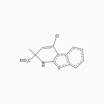 CCOC(=O)C1(C)C=C(Cl)c2c(sc3ccccc23)N1